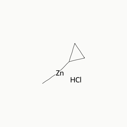 Cl.[CH3][Zn][CH]1CC1